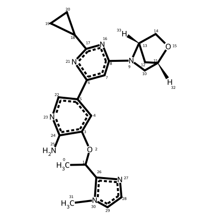 CC(Oc1cc(-c2cc(N3C[C@@H]4C[C@H]3CO4)nc(C3CC3)n2)cnc1N)c1nccn1C